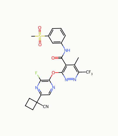 Cc1c(C(F)(F)F)nnc(Oc2ncc(C3(C#N)CCC3)nc2F)c1C(=O)Nc1cccc(S(C)(=O)=O)c1